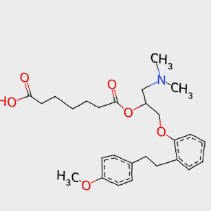 COc1ccc(CCc2ccccc2OCC(CN(C)C)OC(=O)CCCCCC(=O)O)cc1